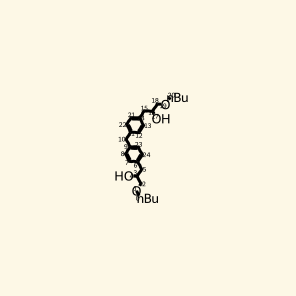 CCCCOCC(O)Cc1ccc(Cc2ccc(CC(O)COCCCC)cc2)cc1